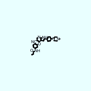 C=CC(=O)Nc1cccc(Oc2c(C#N)cnc3[nH]c(-c4ccc(N5CCN(C)CC5)cc4)cc23)c1